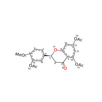 COc1ccc([C@@H]2CC(=O)c3c(OC(C)=O)cc(OC(C)=O)cc3O2)cc1OC(C)=O